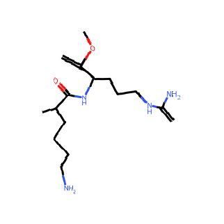 C=C(N)NCCCC(NC(=O)C(C)CCCCN)C(=C)OC